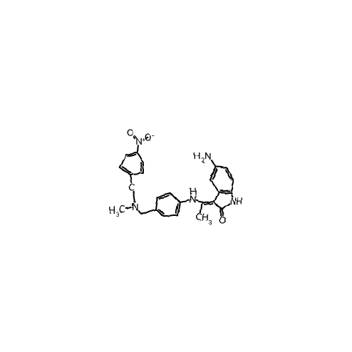 CC(Nc1ccc(CN(C)CCc2ccc([N+](=O)[O-])cc2)cc1)=C1C(=O)Nc2ccc(N)cc21